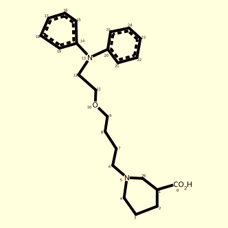 O=C(O)C1CCCN(CCCCOCCN(c2ccccc2)c2ccccc2)C1